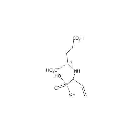 C=CC(N[C@@H](CCC(=O)O)C(=O)O)P(=O)(O)O